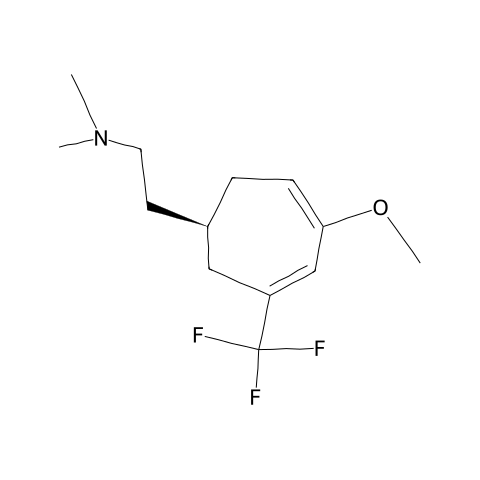 COC1=CC[C@H](CCN(C)C)CC(C(F)(F)F)=C1